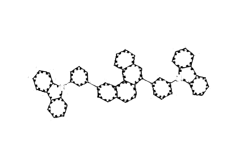 c1cc(-c2ccc3ccc4c(-c5cccc(-n6c7ccccc7c7ccccc76)c5)cc5ccccc5c4c3c2)cc(-n2c3ccccc3c3ccccc32)c1